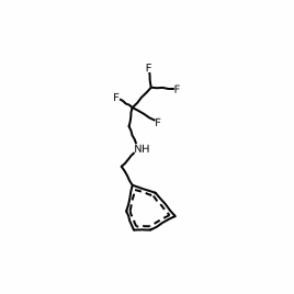 FC(F)C(F)(F)CNCc1ccccc1